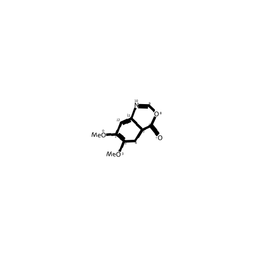 COC1=C(OC)CC2C(=O)OC=NC2=C1